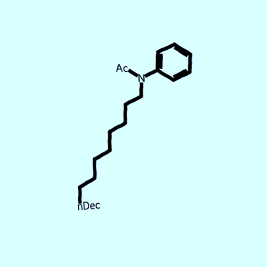 [CH2]C(=O)N(CCCCCCCCCCCCCCCCCC)c1ccccc1